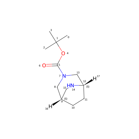 CC(C)(C)OC(=O)N1C[C@H]2CC[C@@H](C1)NC2